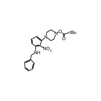 CC(C)(C)C(=O)ON1CCN(c2cccc(NCc3ccccc3)c2[N+](=O)[O-])CC1